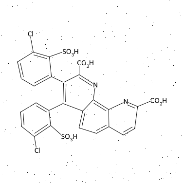 O=C(O)c1ccc2ccc3c(-c4cccc(Cl)c4S(=O)(=O)O)c(-c4cccc(Cl)c4S(=O)(=O)O)c(C(=O)O)nc3c2n1